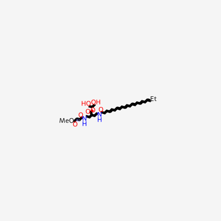 CCC=CCC=CCC=CCC=CCC=CCC=CCCC(=O)NCCC(CCNC(=O)/C=C/C(=O)OC)C(=O)OC(CO)CO